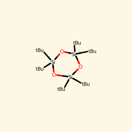 CC(C)(C)[Si]1(C(C)(C)C)O[Si](C(C)(C)C)(C(C)(C)C)O[Si](C(C)(C)C)(C(C)(C)C)O1